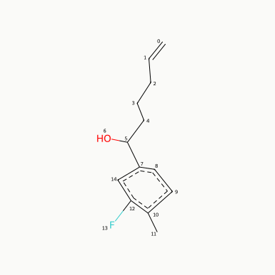 C=CCCCC(O)c1ccc(C)c(F)c1